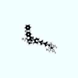 CC(C)(C)OC(=O)N1CC(N2CC(N3CCC(n4nc(-c5ccc(Oc6ccccc6)cc5)c5c(N)ncnc54)C(F)C3)C2)C1